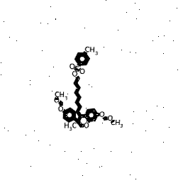 COCOc1ccc(C2(C)COc3cc(OCOC)ccc3C2CCCCCCCCOS(=O)(=O)c2ccc(C)cc2)cc1